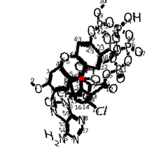 COc1cc2c(cc1Cl)C1(OC(=O)c3c(Cl)ccc(Cl)c31)c1cc(Cl)c(OP(=O)(OC)OP(=O)(O)OP(=O)(OC)OP(=O)(OC)OC[C@H]3O[C@@H](n4cnc5c(N)ncnc54)CC3O)cc1O2